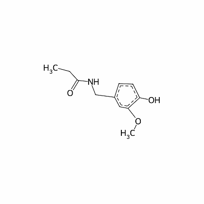 CCC(=O)NCc1ccc(O)c(OC)c1